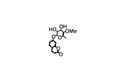 COC1=C(C)OC(Oc2ccc3ccc(=O)oc3c2)[C@@H](O)[C@H]1O